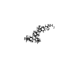 NC(=O)CN1CCC(CNc2ncnc(N3CC(F)(F)C[C@@H]3c3ccc(C(F)(F)F)cn3)c2F)C(F)(F)C1